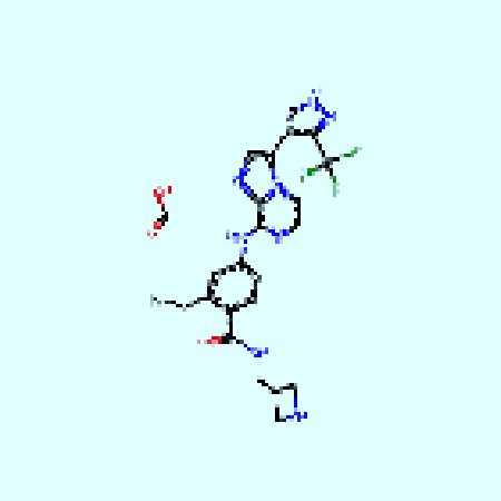 CCc1cc(Nc2nccn3c(-c4c[nH]nc4C(F)(F)F)cnc23)ccc1C(=O)NCC1CNC1.O=CO